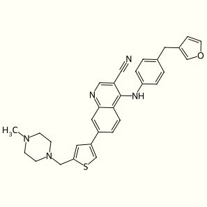 CN1CCN(Cc2cc(-c3ccc4c(Nc5ccc(Cc6ccoc6)cc5)c(C#N)cnc4c3)cs2)CC1